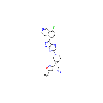 Cc1cc(C2(CN)C3CCN(c4cnc5c(-c6ccc(Cl)c7cnccc67)n[nH]c5n4)CC32)no1